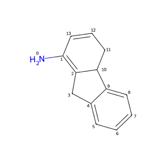 NC1=C2Cc3ccccc3C2CC=C1